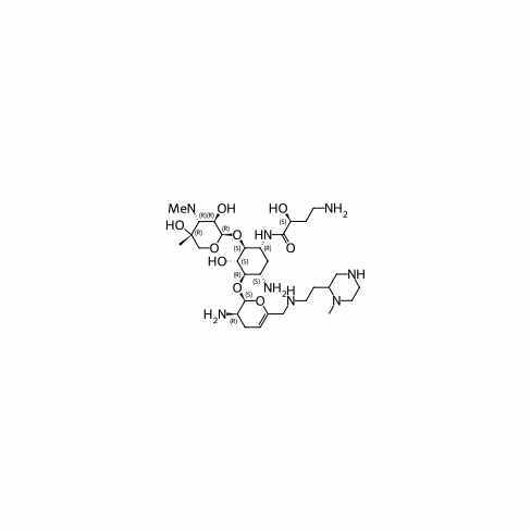 CN[C@@H]1[C@@H](O)[C@@H](O[C@@H]2[C@@H](O)[C@H](O[C@H]3OC(CNCCC4CNCCN4C)=CC[C@H]3N)[C@@H](N)C[C@H]2NC(=O)[C@@H](O)CCN)OC[C@]1(C)O